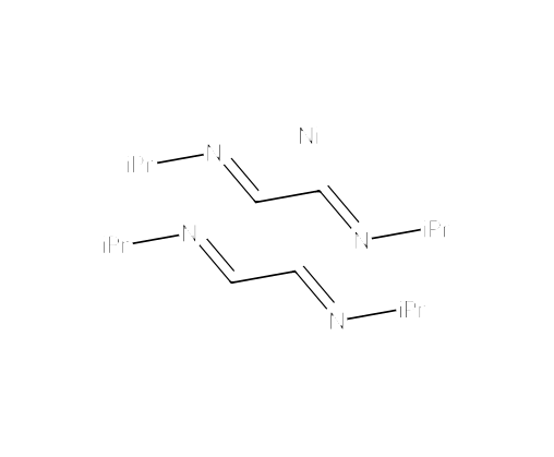 CC(C)N=CC=NC(C)C.CC(C)N=CC=NC(C)C.[Ni]